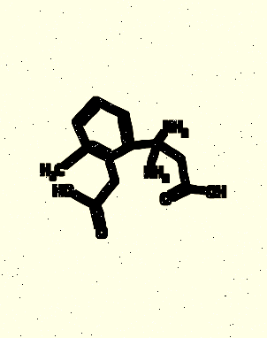 Cc1cccc(C(N)(N)CC(=O)O)c1CC(=O)O